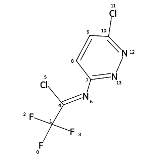 FC(F)(F)C(Cl)=Nc1ccc(Cl)nn1